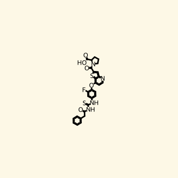 O=C(Cc1ccccc1)NC(=S)Nc1ccc(Oc2ccnc3cc(C(=O)N4CCCC4C(=O)O)sc23)c(F)c1